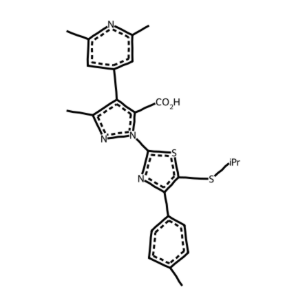 Cc1ccc(-c2nc(-n3nc(C)c(-c4cc(C)nc(C)c4)c3C(=O)O)sc2SC(C)C)cc1